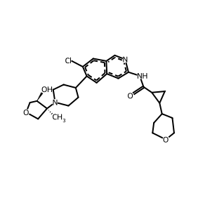 C[C@]1(N2CCC(c3cc4cc(NC(=O)C5CC5C5CCOCC5)ncc4cc3Cl)CC2)COC[C@H]1O